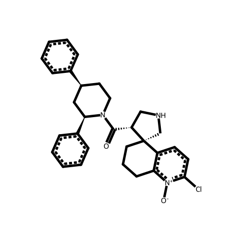 O=C([C@@H]1CNC[C@]12CCCc1c2ccc(Cl)[n+]1[O-])N1CC[C@H](c2ccccc2)C[C@@H]1c1ccccc1